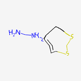 C1=CSSC1.NN